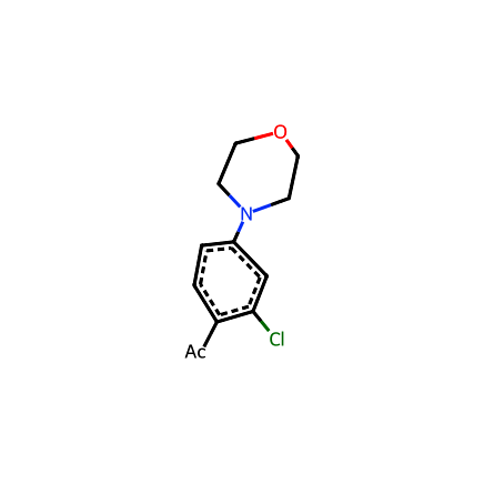 CC(=O)c1ccc(N2CCOCC2)cc1Cl